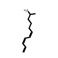 BC(C)CCC/C=C\C=C/C=C